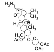 C=C(C)[C@@H]1CC[C@]2(C(=O)NCCN)CC[C@]3(C)C(CCC4[C@@]5(C)CC[C@H](O[C@H]6C[C@@H](OC(C)=O)[C@@H](OC(C)=O)CO6)[C@@](C)(COC(C)=O)C5CC[C@]43C)C12